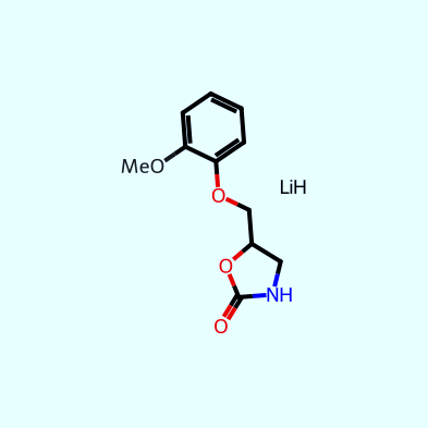 COc1ccccc1OCC1CNC(=O)O1.[LiH]